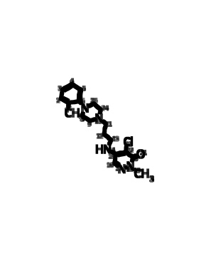 Cc1ccccc1N1CCN(CCCNc2cnn(C)c(=O)c2Cl)CC1